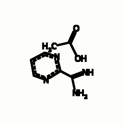 CC(=O)O.N=C(N)c1ncccn1